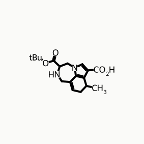 CC1CC=C2CNC(C(=O)OC(C)(C)C)Cn3cc(C(=O)O)c1c32